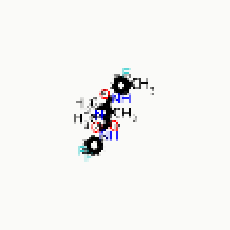 Cc1cc(NC(=O)c2c(C)c(C(=O)C(=O)NC3CCC(F)(F)CC3)n(C)c2C)ccc1F